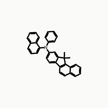 CC1(C)c2cc(N(c3ccccc3)c3cccc4ccccc34)ccc2-c2ccc3ccccc3c21